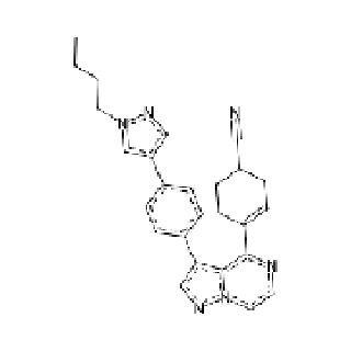 CCCCn1cc(-c2ccc(-c3cnn4ccnc(C5=CCC(C#N)CC5)c34)cc2)cn1